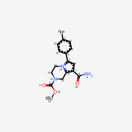 [2H]c1ccc(-c2cc(C(N)=O)c3n2CCN(C(=O)OC(C)(C)C)C3)cc1